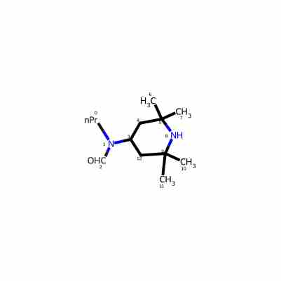 CCCN(C=O)C1CC(C)(C)NC(C)(C)C1